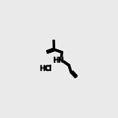 C=CCNCC(=C)C.Cl